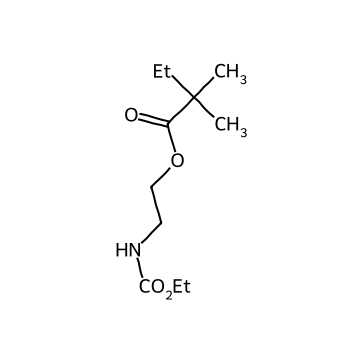 CCOC(=O)NCCOC(=O)C(C)(C)CC